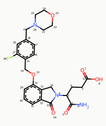 NC(=O)C(CCC(=O)O)N1Cc2c(OCc3ccc(CN4CCOCC4)cc3F)cccc2C1=O